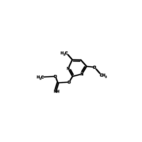 COC(=N)Oc1nc(C)cc(OC)n1